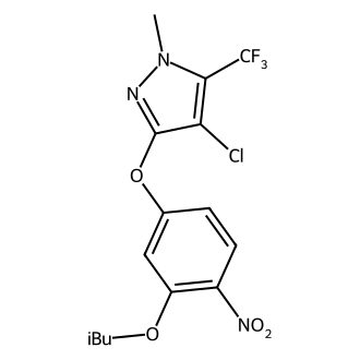 C[CH]C(C)Oc1cc(Oc2nn(C)c(C(F)(F)F)c2Cl)ccc1[N+](=O)[O-]